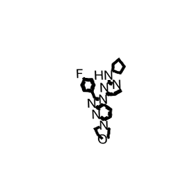 Fc1ccc(-c2nc3nc(N4CCOCC4)ccc3n2-c2ccnc(NC3CCCC3)n2)cc1